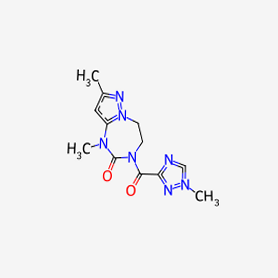 Cc1cc2n(n1)CCN(C(=O)c1ncn(C)n1)C(=O)N2C